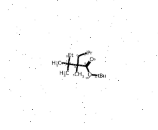 CCC(C)(C)C(C)(CC(C)C)C(=O)OC(C)(C)C